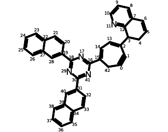 C1#CC(C2CC=Cc3cccnc32)=CC=C(c2nc(-c3ccc4ccccc4c3)nc(-c3ccc4ccccc4c3)n2)C1